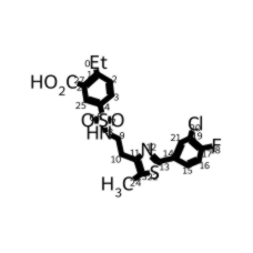 CCc1ccc(S(=O)(=O)NCCc2nc(-c3ccc(F)c(Cl)c3)sc2C)cc1C(=O)O